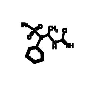 CC(NC(=N)Cl)N(c1ccccc1)S(=O)(=O)C(C)C